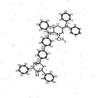 CN1CC(N(c2ccccc2)c2ccccc2)CC2c3ccccc3N(c3ccc(-c4ccc(C5=NC(c6ccccc6)NC(c6ccccc6)C5)cc4)cc3)C21